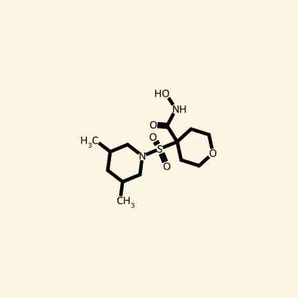 CC1CC(C)CN(S(=O)(=O)C2(C(=O)NO)CCOCC2)C1